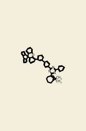 CC1(C)CC2(c3nc(-c4ccccc4)nc(-c4ccc(-c5cccc(-c6cccc7c6Oc6ccccc6C76c7ccccc7-c7ccccc76)c5)cc4)n3)CCCCC1C2